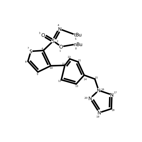 CCCCOS(=O)(=NC(C)(C)C)c1sccc1-c1ccc(Cn2ncnn2)cc1